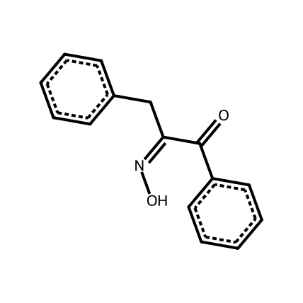 O=C(C(Cc1ccccc1)=NO)c1ccccc1